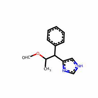 CC(OC=O)C(c1ccccc1)c1c[nH]cn1